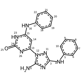 Nc1nc(Nc2ccccc2)nn1-c1cc(Nc2ccccc2)[nH]c(=O)n1